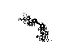 COC(=O)N[C@H](C(=O)N1CCC[C@H]1c1nc2ccc(C#Cc3cccc(-c4[nH]cnc4[C@@H]4CCCN4C(=O)[C@@H](N)C(C)C)c3)cc2[nH]1)C(C)C